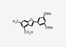 COc1cc(OC)cc(-c2cc3c(C(=O)O)cc(C)cc3o2)c1